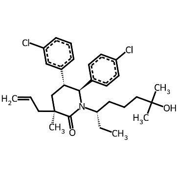 C=CC[C@@]1(C)C[C@H](c2cccc(Cl)c2)[C@@H](c2ccc(Cl)cc2)N([C@@H](CC)CCCC(C)(C)O)C1=O